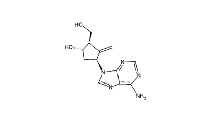 C=C1[C@H](CO)[C@@H](O)C[C@@H]1n1cnc2c(N)ncnc21